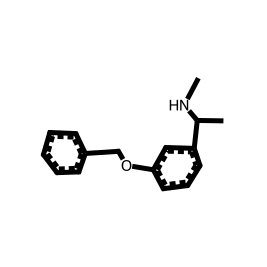 CNC(C)c1cccc(OCc2ccccc2)c1